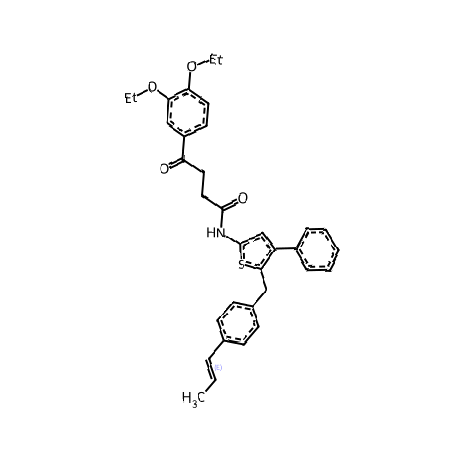 C/C=C/c1ccc(Cc2sc(NC(=O)CCC(=O)c3ccc(OCC)c(OCC)c3)cc2-c2ccccc2)cc1